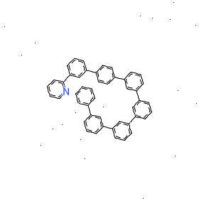 c1ccc(-c2cccc(-c3cccc(-c4cccc(-c5cccc(-c6ccc(-c7cccc(-c8ccccn8)c7)cc6)c5)c4)c3)c2)cc1